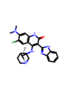 CN(C)c1cc2[nH]c(=O)c(-c3nc4ccccc4[nH]3)c(N[C@H]3CN4CCC3CC4)c2cc1Cl